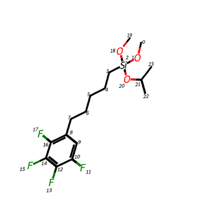 CO[Si](CCCCCc1cc(F)c(F)c(F)c1F)(OC)OC(C)C